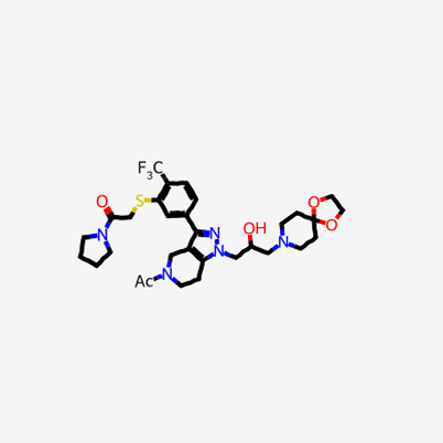 CC(=O)N1CCc2c(c(-c3ccc(C(F)(F)F)c(SCC(=O)N4CCCC4)c3)nn2CC(O)CN2CCC3(CC2)OCCO3)C1